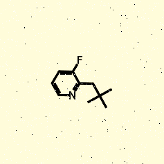 CC(C)(C)Cc1ncccc1F